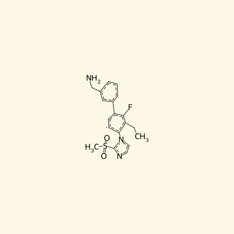 CCc1c(-n2ccnc2S(C)(=O)=O)[c]cc(-c2cccc(CN)c2)c1F